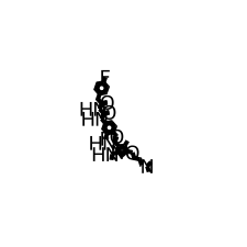 CNn1cc(OCCCN(C)C)c(C)c1C(=N)Oc1ccc(NC(=O)NC(=O)Cc2ccc(F)cc2)cc1F